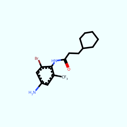 Nc1cc(Br)c(NC(=O)CCC2CCCCC2)c(C(F)(F)F)c1